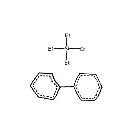 CC[Si](CC)(CC)CC.c1ccc(-c2ccccc2)cc1